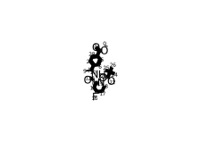 COC(=O)c1ccc([C@H](C)NC(=O)[C@H]2CC(F)CCN2OC(=O)C(C)(C)C)cc1